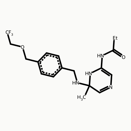 CCC(=O)NC1=CN=CC(C)(NCc2ccc(COCC(F)(F)F)cc2)N1